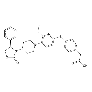 CCc1nc(Sc2ccc(CC(=O)O)cc2)ccc1N1CCC(N2C(=O)OC[C@H]2c2ccccc2)CC1